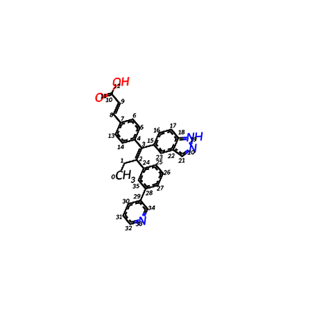 CCC(=C(c1ccc(C=CC(=O)O)cc1)c1ccc2[nH]ncc2c1)c1cccc(-c2cccnc2)c1